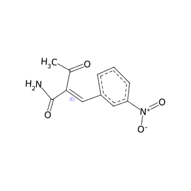 CC(=O)/C(=C\c1cccc([N+](=O)[O-])c1)C(N)=O